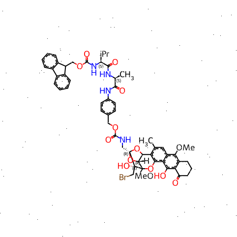 COc1c2c(c(O)c3c4c(c(C)cc13)C1O[C@]3(CNC(=O)OCc5ccc(NC(=O)[C@H](C)NC(=O)[C@@H](NC(=O)OCC6c7ccccc7-c7ccccc76)C(C)C)cc5)O[C@H]1C(OC)(O4)[C@@]3(O)CBr)C(=O)CCC2